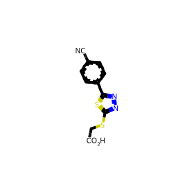 N#Cc1ccc(-c2nnc(SCC(=O)O)s2)cc1